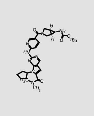 CN(C)C(=O)c1cc2cnc(Nc3ccc(C(=O)N4C[C@@H]5[C@H](C4)[C@@H]5NC(=O)OC(C)(C)C)cn3)nc2n1C1CCCC1